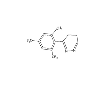 Cc1cc(C(F)(F)F)cc(C)c1C1=NN=CCC1